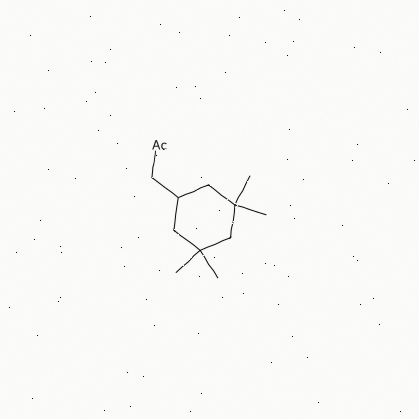 CC(=O)CC1CC(C)(C)CC(C)(C)C1